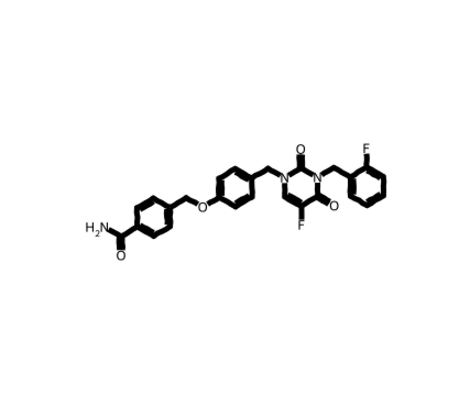 NC(=O)c1ccc(COc2ccc(Cn3cc(F)c(=O)n(Cc4ccccc4F)c3=O)cc2)cc1